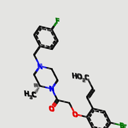 C[C@@H]1CN(Cc2ccc(F)cc2)CCN1C(=O)COc1ccc(Br)cc1C=CC(=O)O